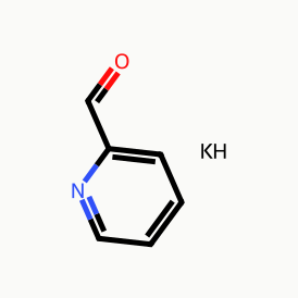 O=Cc1ccccn1.[KH]